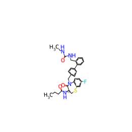 CCCC(=O)N[C@@H]1CSc2cc(F)ccc2N(Cc2ccc(-c3ccccc3CNC(=O)NCC)cc2)C1=O